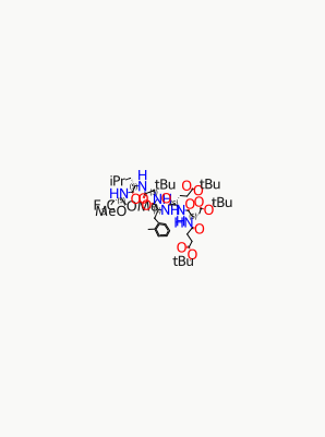 COC(OC)[C@H](CC(F)(F)F)NC(=O)[C@H](CC(C)C)NC(=O)[C@@H](NC(=O)[C@H](Cc1ccccc1C)NC(=O)[C@H](CCC(=O)OC(C)(C)C)NC(=O)[C@H](CC(=O)OC(C)(C)C)NC(=O)CCC(=O)OC(C)(C)C)C(C)(C)C